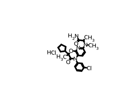 CC(C(N)=O)N(C)c1ccc2c(n1)OC(C)(C1CCCC1)C(=O)N2c1cccc(Cl)c1.Cl